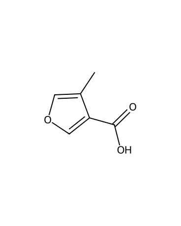 Cc1cocc1C(=O)O